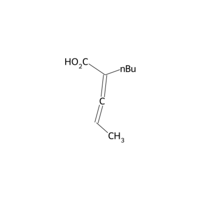 CC=C=C(CCCC)C(=O)O